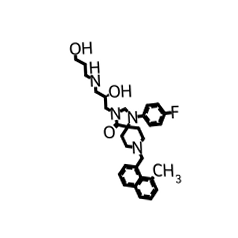 Cc1cccc2cccc(CN3CCC4(CC3)C(=O)N(C[C@H](O)CNCCCO)CN4c3ccc(F)cc3)c12